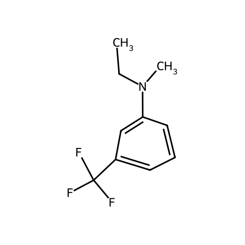 CCN(C)c1cccc(C(F)(F)F)c1